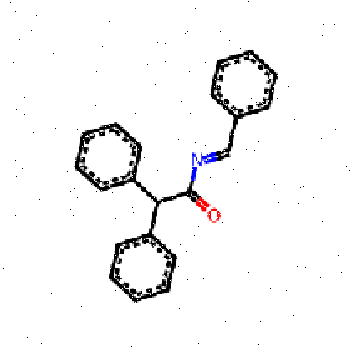 O=C(N=Cc1ccccc1)C(c1ccccc1)c1ccccc1